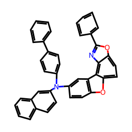 c1ccc(-c2ccc(N(c3ccc4ccccc4c3)c3ccc4oc5ccc6oc(-c7ccccc7)nc6c5c4c3)cc2)cc1